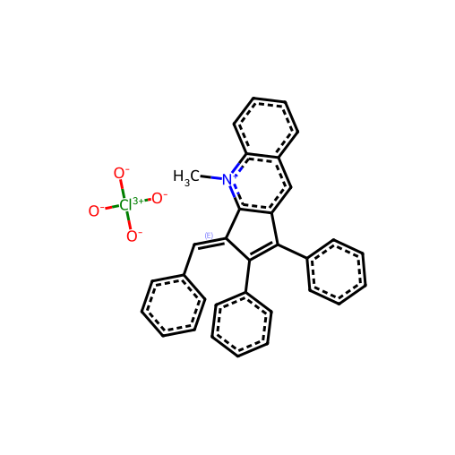 C[n+]1c2c(cc3ccccc31)C(c1ccccc1)=C(c1ccccc1)/C2=C\c1ccccc1.[O-][Cl+3]([O-])([O-])[O-]